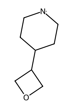 C1CC(C2COC2)CC[N]1